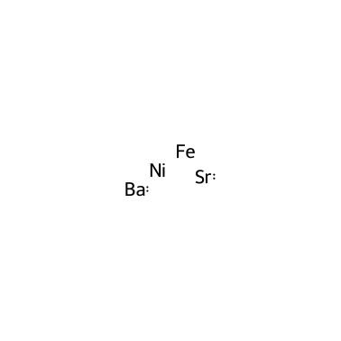 [Ba].[Fe].[Ni].[Sr]